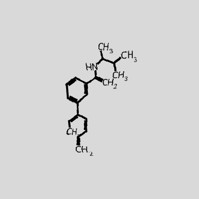 C=C/C=C\C(=C/C)c1cccc(C(=C)NC(C)C(C)C)c1